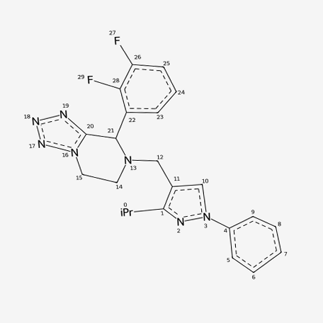 CC(C)c1nn(-c2ccccc2)cc1CN1CCn2nnnc2C1c1cccc(F)c1F